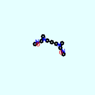 c1ccc2oc(-c3ccc4c(c3)c3ccccc3n4-c3ccc(-c4ccc(-c5ccc(-n6c7ccccc7c7cc(-c8nc9ccccc9o8)ccc76)cc5)cc4)cc3)nc2c1